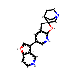 c1cc2occ(-c3cnc4c(c3)C[C@@]3(CN5CCC3CC5)O4)c2cn1